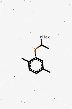 CCCCCCC(C)Sc1cc(C)ccc1C